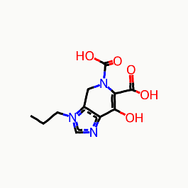 CCCn1cnc2c1CN(C(=O)O)C(C(=O)O)=C2O